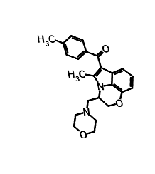 Cc1ccc(C(=O)c2c(C)n3c4c(cccc24)OCC3CN2CCOCC2)cc1